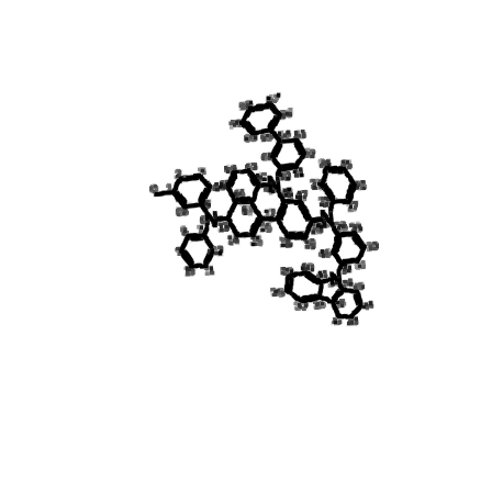 Cc1cccc(N(c2ccccc2)C2CC=C3c4ccc(N(c5ccccc5)c5cccc(-n6c7c(c8ccccc86)CCC=C7)c5)cc4N(c4cccc(-c5ccccc5)c4)c4cccc2c43)c1